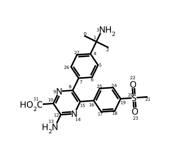 CC(C)(N)c1ccc(-c2nc(C(=O)O)c(N)nc2-c2ccc(S(C)(=O)=O)cc2)cc1